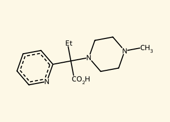 CCC(C(=O)O)(c1ccccn1)N1CCN(C)CC1